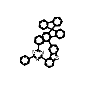 c1ccc(-c2nc(-c3ccccc3)nc(-c3cccc4sc5ccc(-c6cccc7c6-c6ccccc6C76c7ccccc7-c7ccccc76)cc5c34)n2)cc1